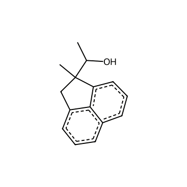 CC(O)C1(C)Cc2cccc3cccc1c23